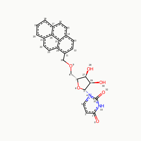 O=c1ccn([C@@H]2O[C@H](COCc3ccc4ccc5cccc6ccc3c4c56)[C@@H](O)[C@H]2O)c(=O)[nH]1